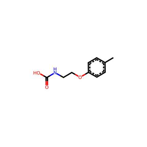 Cc1ccc(OCCNC(=O)O)cc1